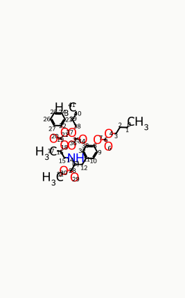 CCCCOC(=O)Oc1ccc(C[C@H](NCC(C)OC(=O)Oc2ccccc2)C(=O)OC)cc1OC(=O)OCCCC